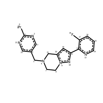 CC(C)c1ncc(CN2CCn3nc(-c4ncccc4F)cc3C2)cn1